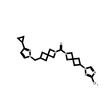 O=C(N1CC2(CC(Cn3ccc(C4CC4)n3)C2)C1)N1CC2(CC(n3cnc(C(F)(F)F)n3)C2)C1